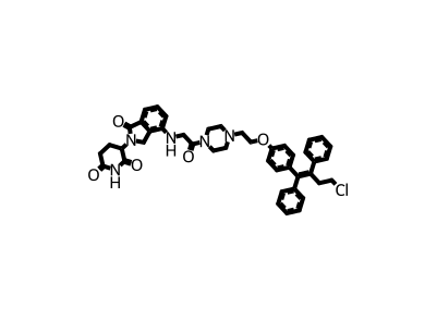 O=C1CCC(N2Cc3c(NCC(=O)N4CCN(CCOc5ccc(/C(=C(/CCCl)c6ccccc6)c6ccccc6)cc5)CC4)cccc3C2=O)C(=O)N1